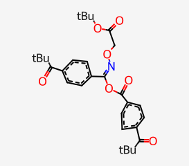 CC(C)(C)OC(=O)CON=C(OC(=O)c1ccc(C(=O)C(C)(C)C)cc1)c1ccc(C(=O)C(C)(C)C)cc1